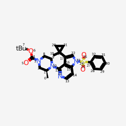 C[C@H]1CN(C(=O)OC(C)(C)C)CCN1c1nccc2c1c(C1(C)CC1)cn2S(=O)(=O)c1ccccc1